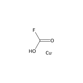 O=C(O)F.[Cu]